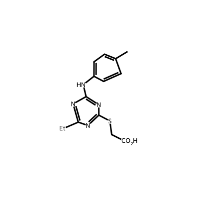 CCc1nc(Nc2ccc(C)cc2)nc(SCC(=O)O)n1